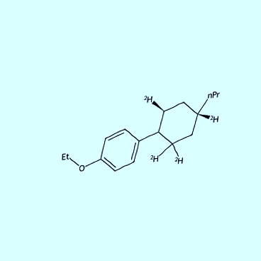 [2H][C@H]1C[C@]([2H])(CCC)CC([2H])([2H])C1c1ccc(OCC)cc1